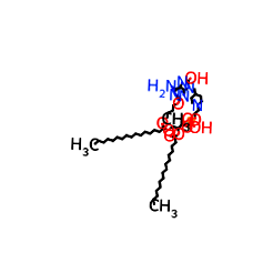 CCCCCCCCCCCCCCCC(=O)OCC(COP(=O)(O)OCCN1CCC(Cn2c(O)nc3c(N)nc(OCCCC)nc32)CC1)OC(=O)CCCCCCCCCCCCCCC